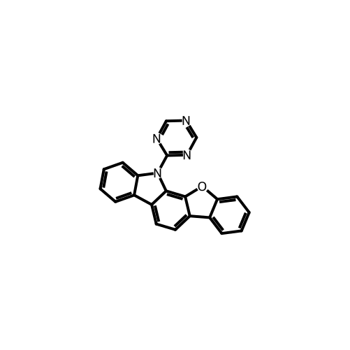 c1ccc2c(c1)oc1c2ccc2c3ccccc3n(-c3ncncn3)c21